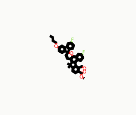 CCCCOc1ccc(C2(c3ccc(F)cc3)C=Cc3c4c(c5ccc(F)cc5c3O2)-c2c(ccc(C(=O)OC)c2C=O)C4(C)C)cc1